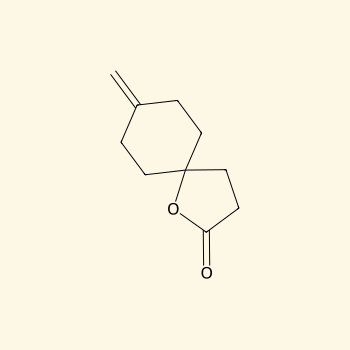 C=C1CCC2(CC1)CCC(=O)O2